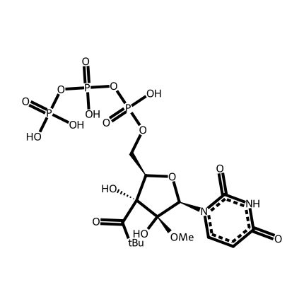 CO[C@]1(O)[C@H](n2ccc(=O)[nH]c2=O)O[C@H](COP(=O)(O)OP(=O)(O)OP(=O)(O)O)[C@]1(O)C(=O)C(C)(C)C